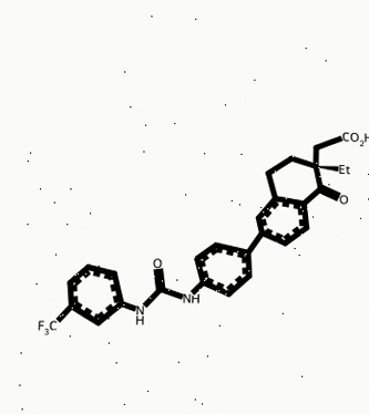 CC[C@]1(CC(=O)O)CCc2cc(-c3ccc(NC(=O)Nc4cccc(C(F)(F)F)c4)cc3)ccc2C1=O